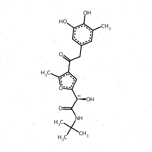 Cc1cc(CC(=O)c2cc([C@@H](O)C(=O)NC(C)(C)C)oc2C)cc(O)c1O